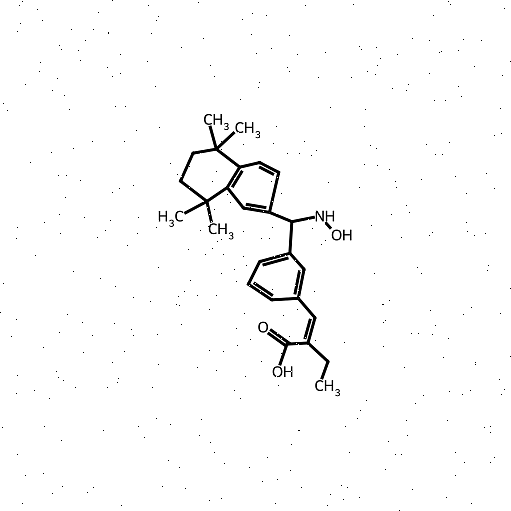 CCC(=Cc1cccc(C(NO)c2ccc3c(c2)C(C)(C)CCC3(C)C)c1)C(=O)O